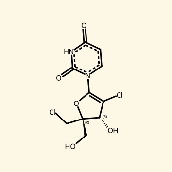 O=c1ccn(C2=C(Cl)[C@H](O)[C@](CO)(CCl)O2)c(=O)[nH]1